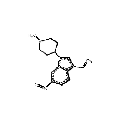 C=Cc1cn(C2CCN(C)CC2)c2cc(N=O)ccc12